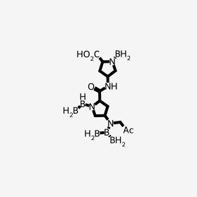 BBN1CC(N(CC(C)=O)B(B)B)CC1C(=O)NC1CC(C(=O)O)N(B)C1